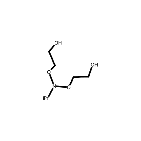 CC(C)N(OCCO)OCCO